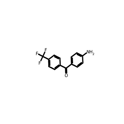 Nc1ccc(C(=O)c2ccc(C(F)(F)F)cc2)cc1